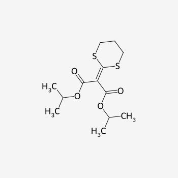 CC(C)OC(=O)C(C(=O)OC(C)C)=C1SCCCS1